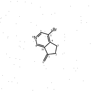 C=C1CCc2c(Br)cncc21